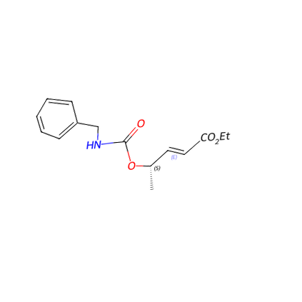 CCOC(=O)/C=C/[C@H](C)OC(=O)NCc1ccccc1